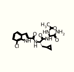 CC(=O)NC(NC(=O)[C@H](CC1CC1)NC(=O)c1cc2cccc(Cl)c2[nH]1)C(N)=O